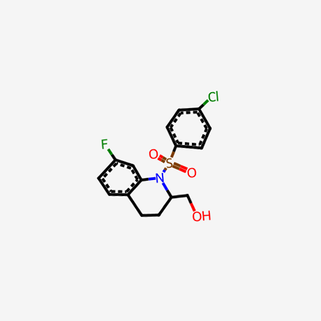 O=S(=O)(c1ccc(Cl)cc1)N1c2cc(F)ccc2CCC1CO